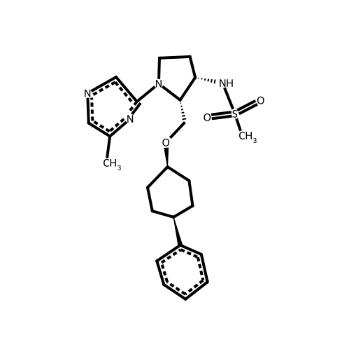 Cc1cncc(N2CC[C@H](NS(C)(=O)=O)[C@@H]2CO[C@H]2CC[C@@H](c3ccccc3)CC2)n1